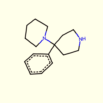 c1ccc(C2(N3CCCCC3)CCNCC2)cc1